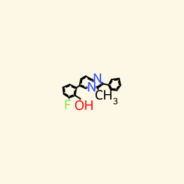 Cc1c(-c2ccccc2)nc2ccc(-c3cccc(F)c3CO)cn12